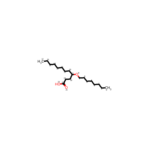 CCCCCCCCOC(CCCCCCCC)CCC(=O)O